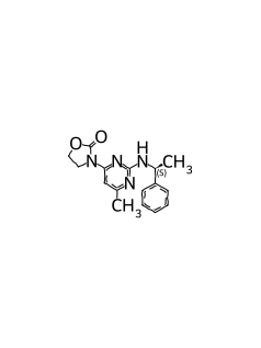 Cc1cc(N2CCOC2=O)nc(N[C@@H](C)c2ccccc2)n1